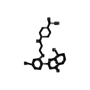 O=C(O)C1CCC(NCCOc2cc(Br)ccc2-c2cc(=O)c3cccc(Cl)c3o2)CC1